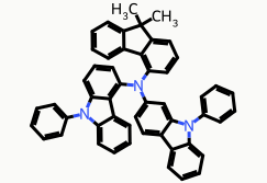 CC1(C)c2ccccc2-c2c(N(c3ccc4c5ccccc5n(-c5ccccc5)c4c3)c3cccc4c3c3ccccc3n4-c3ccccc3)cccc21